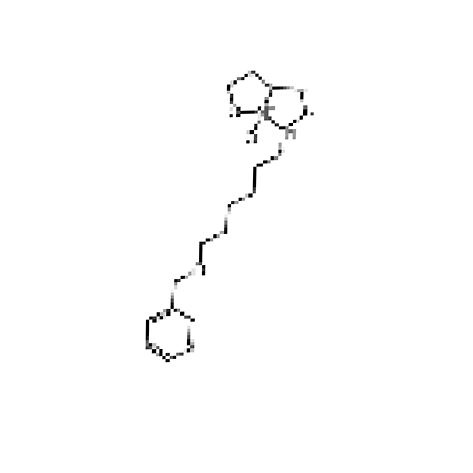 [O-][N+]12OCCC1[CH][CH][C@@H]2CCCCCCOCc1ccccc1